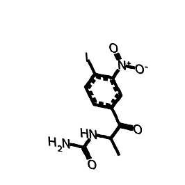 CC(NC(N)=O)C(=O)c1ccc(I)c([N+](=O)[O-])c1